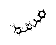 C/C(=C\c1ccccc1)Cn1cc(Cc2c[nH]c(N)n2)nn1